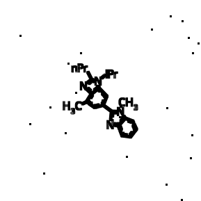 CCCc1nc2c(C)cc(-c3nc4ccccc4n3C)cc2n1C(C)C